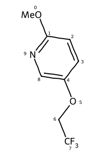 COc1ccc(OCC(F)(F)F)cn1